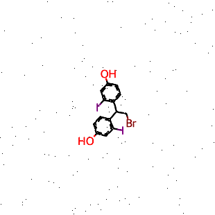 Oc1ccc(C(CBr)c2ccc(O)cc2I)c(I)c1